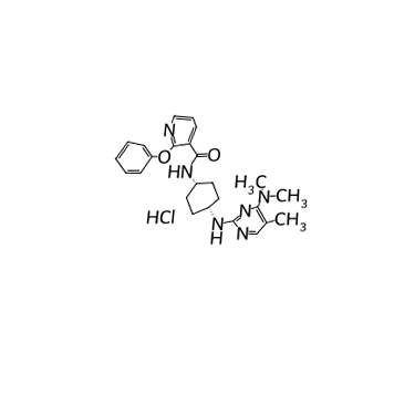 Cc1cnc(N[C@H]2CC[C@@H](NC(=O)c3cccnc3Oc3ccccc3)CC2)nc1N(C)C.Cl